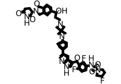 O=C1CC[C@H](N2Cc3cc([C@H](O)CCN4CC5(C4)CN(c4ccc(-c6cnc7[nH]cc(C(=O)c8c(F)ccc(NS(=O)(=O)N9CC[C@@H](F)C9)c8F)c7c6)cc4)C5)ccc3C2=O)C(=O)N1